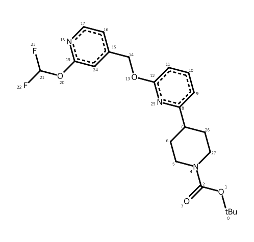 CC(C)(C)OC(=O)N1CCC(c2cccc(OCc3ccnc(OC(F)F)c3)n2)CC1